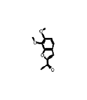 COc1ccc2cc(C(C)=O)oc2c1OC